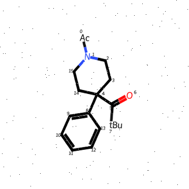 CC(=O)N1CCC(C(=O)C(C)(C)C)(c2ccccc2)CC1